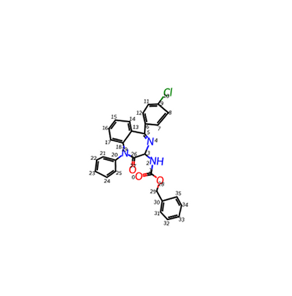 O=C(NC1N=C(c2ccc(Cl)cc2)c2ccccc2N(c2ccccc2)C1=O)OCc1ccccc1